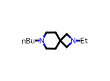 CCCCN1CCC2(CC1)CN(CC)C2